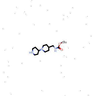 CC(C)(C)OC(=O)NCC1CCN(C2CCNCC2)CC1